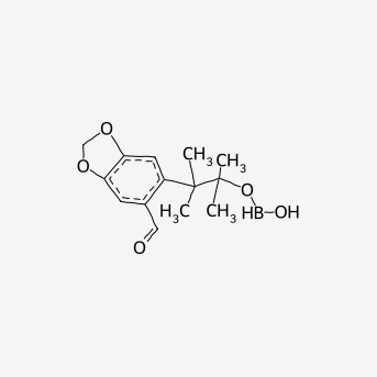 CC(C)(OBO)C(C)(C)c1cc2c(cc1C=O)OCO2